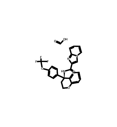 O=C(N[C@]1(c2ccc(OC(F)(F)F)cc2)CCOc2cccnc21)c1cn2ccccc2n1.O=CO